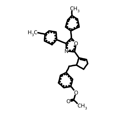 CC(=O)Oc1cccc(CC2CCC=C2c2nc(-c3ccc(C)cc3)c(-c3ccc(C)cc3)o2)c1